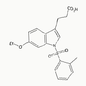 CCOc1ccc2c(CCC(=O)O)cn(S(=O)(=O)c3ccccc3C)c2c1